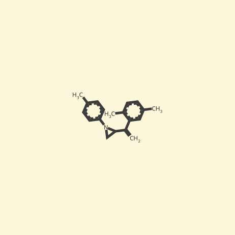 C=C(c1cc(C)ccc1C)C1CN1c1ccc(C)cc1